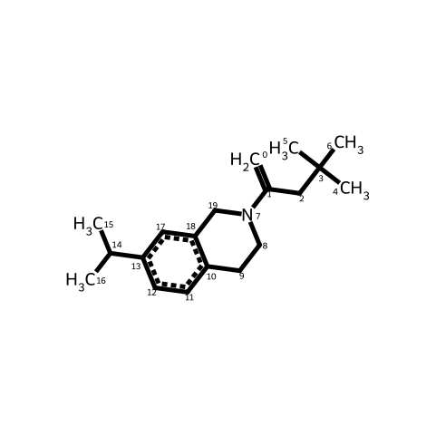 C=C(CC(C)(C)C)N1CCc2ccc(C(C)C)cc2C1